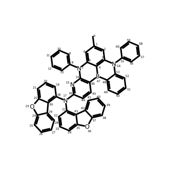 Cc1cc2c3c(c1)N(c1ccccc1)c1nc(N(c4cccc5oc6ccccc6c45)c4cccc5oc6ccccc6c45)ccc1B3c1ccccc1N2c1ccccc1